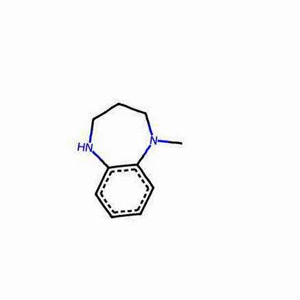 CN1CCCNc2ccccc21